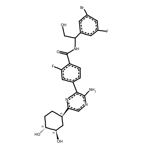 Nc1ncc([C@@H]2CC[C@@H](O)[C@H](O)C2)nc1-c1ccc(C(=O)NC(CO)c2cc(F)cc(Br)c2)c(F)c1